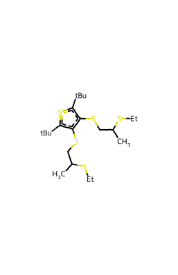 CCSC(C)CSc1c(C(C)(C)C)sc(C(C)(C)C)c1SCC(C)SCC